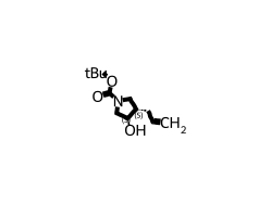 C=CC[C@H]1CN(C(=O)OC(C)(C)C)C[C@H]1O